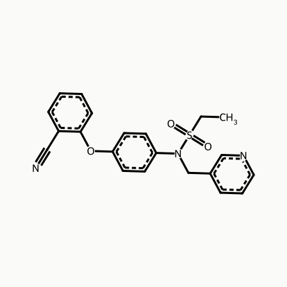 CCS(=O)(=O)N(Cc1cccnc1)c1ccc(Oc2ccccc2C#N)cc1